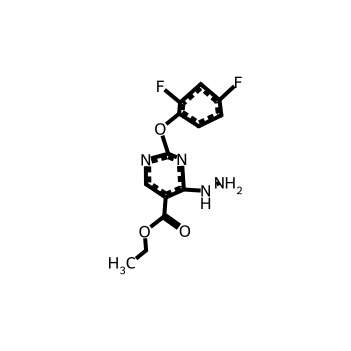 CCOC(=O)c1cnc(Oc2ccc(F)cc2F)nc1NN